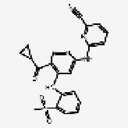 CS(=O)(=O)c1ccccc1Nc1cc(Nc2cccc(C#N)n2)ncc1C(=O)C1CC1